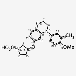 COc1ncc(N2CCOc3cnc(O[C@H]4CCN(C(=O)O)C4)cc32)cc1C